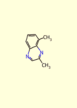 Cc1cnc2cccc(C)c2n1